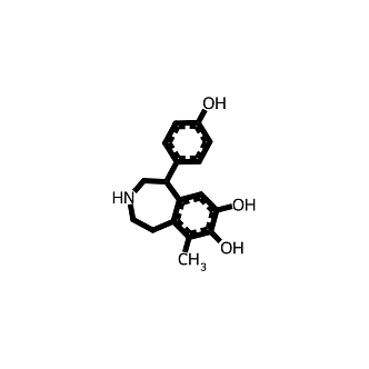 Cc1c(O)c(O)cc2c1CCNCC2c1ccc(O)cc1